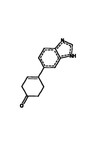 O=C1CC=C(c2ccc3nc[nH]c3c2)CC1